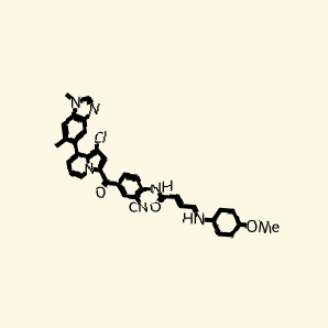 COC1CCC(NC/C=C/C(=O)Nc2ccc(C(=O)c3cc(Cl)c4c(-c5cc6ncn(C)c6cc5C)cccn34)cc2C#N)CC1